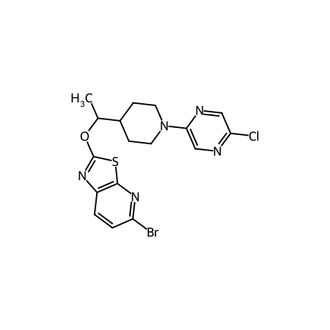 CC(Oc1nc2ccc(Br)nc2s1)C1CCN(c2cnc(Cl)cn2)CC1